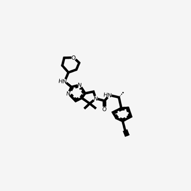 C#Cc1ccc([C@@H](C)NC(=O)N2Cc3nc(NC4CCOCC4)ncc3C2(C)C)cc1